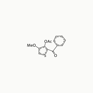 COc1csc(C(=O)c2ccccc2)c1OC(C)=O